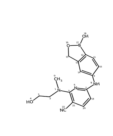 CN(CCO)c1nc(Nc2ccc3c(c2)COB3O)ccc1C#N